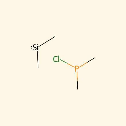 CP(C)Cl.C[Si]C